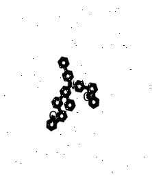 c1ccc(-c2ccc(N(c3ccc(-c4cccc5c4oc4ccccc45)cc3)c3ccc(-c4cccc(-c5cccc6c5oc5ccccc56)c4)c(-c4ccccc4)c3)cc2)cc1